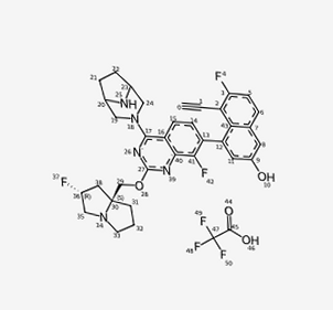 C#Cc1c(F)ccc2cc(O)cc(-c3ccc4c(N5CC6CCC(C5)N6)nc(OC[C@@]56CCCN5C[C@H](F)C6)nc4c3F)c12.O=C(O)C(F)(F)F